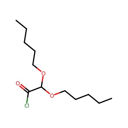 CCCCCOC(OCCCCC)C(=O)Cl